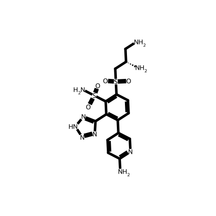 NC[C@H](N)CS(=O)(=O)c1ccc(-c2ccc(N)nc2)c(-c2nn[nH]n2)c1S(N)(=O)=O